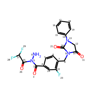 NN(C(=O)c1ccc(CN2C(=O)CN(c3ccccc3)C2=O)c(F)c1)C(=O)C(F)F